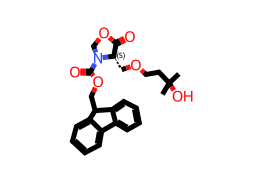 CC(C)(O)CCOC[C@H]1C(=O)OCN1C(=O)OCC1c2ccccc2-c2ccccc21